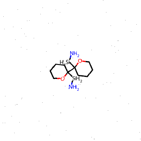 N[SiH2]C1(C2([SiH2]N)CCCCO2)CCCCO1